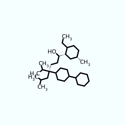 CCC1CC[C@H](C)C[C@@H]1C(O)CC[C@](CC(C)C)(C(C)C)C1CCC(C2CCCCC2)CC1